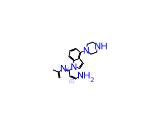 C=C(C)/N=C(\C=C/N)n1ccc2c(N3CCNCC3)cccc21